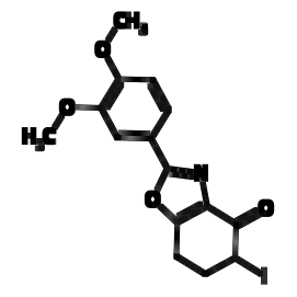 COc1ccc(-c2nc3c(o2)CCC(I)C3=O)cc1OC